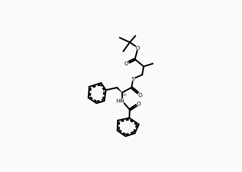 CC(CSC(=O)[C@H](Cc1ccccc1)NC(=O)c1ccccc1)C(=O)OC(C)(C)C